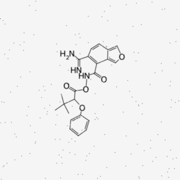 CC(C)(C)C(Oc1ccccc1)C(=O)ONC(=O)c1c(C(=N)N)ccc2cocc12